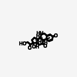 C[C@]12C=CC(=O)C=C1CC[C@@H]1[C@@H]2C(=O)C[C@@]2(C)[C@H]1CC[C@]2(O)C(=O)CO.[HH]